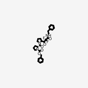 O=C([C@H]1CCCN1C(=O)OCc1ccccc1)N1CCCC1C(=O)C(F)(F)C(=O)NCCc1ccccc1